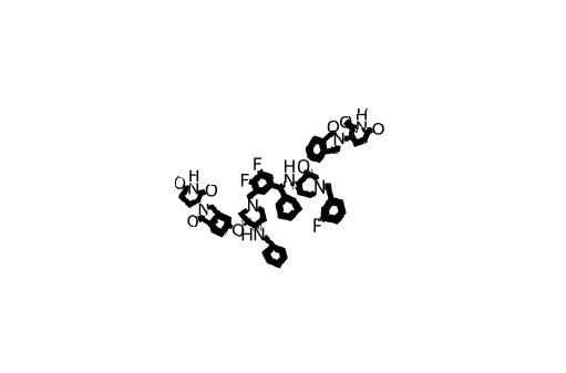 O=C1CCC(N2Cc3cc(O[C@H]4CN(Cc5cc(C(N[C@H]6CCN(Cc7cccc(F)c7)C[C@@H]6Oc6ccc7c(c6)CN(C6CCC(=O)NC6=O)C7=O)c6ccccc6)cc(F)c5F)CC[C@@H]4NCc4ccccc4)ccc3C2=O)C(=O)N1